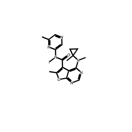 Cc1cncc(N(I)C(=O)c2c(C)oc3ncnc(N(C)C4(C)CC4)c23)n1